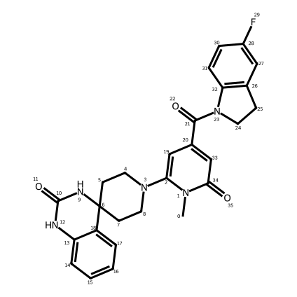 Cn1c(N2CCC3(CC2)NC(=O)Nc2ccccc23)cc(C(=O)N2CCc3cc(F)ccc32)cc1=O